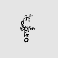 CCCSc1nc(NC2C[C@@H]2c2ccccc2)c2nnn([C@@H]3C=C[C@H](OCC(=O)NCC)C3)c2n1